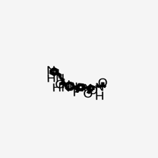 CC(=O)NC[C@H]1CN(c2ccc(N3CCNN(C(=O)CNCc4ccncc4)CC3)c(F)c2)C(=O)O1